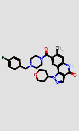 Cc1cc2[nH]c(=O)c3cnn(C4CCOCC4)c3c2cc1C(=O)N1CCN(CC2C=CC(F)=CC2)CC1